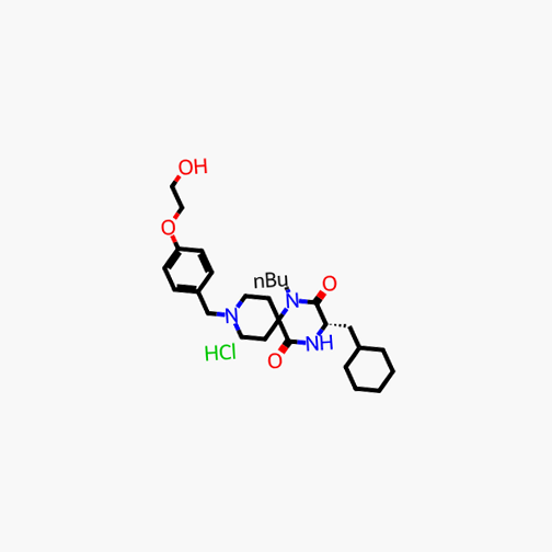 CCCCN1C(=O)[C@H](CC2CCCCC2)NC(=O)C12CCN(Cc1ccc(OCCO)cc1)CC2.Cl